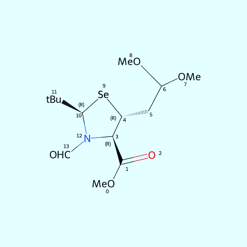 COC(=O)[C@@H]1[C@@H](CC(OC)OC)[Se][C@H](C(C)(C)C)N1C=O